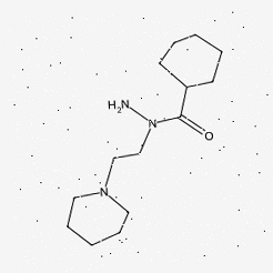 NN(CCN1CCCCC1)C(=O)C1CCCCC1